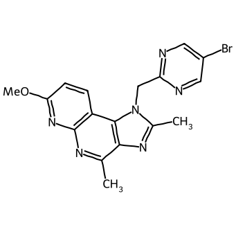 COc1ccc2c(n1)nc(C)c1nc(C)n(Cc3ncc(Br)cn3)c12